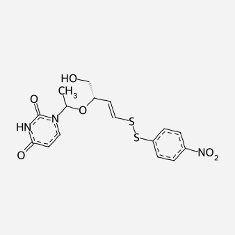 CC(O[C@@H](/C=C/SSc1ccc([N+](=O)[O-])cc1)CO)n1ccc(=O)[nH]c1=O